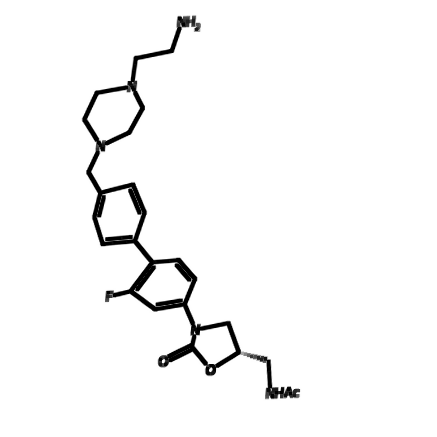 CC(=O)NC[C@H]1CN(c2ccc(-c3ccc(CN4CCN(CCN)CC4)cc3)c(F)c2)C(=O)O1